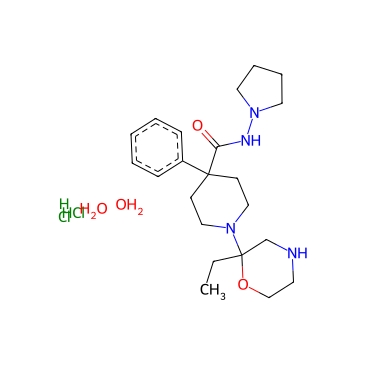 CCC1(N2CCC(C(=O)NN3CCCC3)(c3ccccc3)CC2)CNCCO1.Cl.Cl.O.O